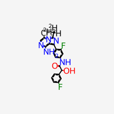 [2H]C([2H])([2H])c1nc(-c2ccc(NC(=O)C(O)c3cccc(F)c3)cc2F)c2c(N)ncc(C(F)(F)F)n12